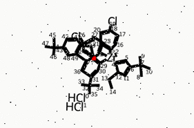 Cl.Cl.[CH2]=[Zr]([C]1=CC(C(C)(C)C)=CC1CC)([c]1ccc(Cl)cc1)([c]1ccc(Cl)cc1)[c]1cc(C(C)(C)C)cc2c1Cc1ccc(C(C)(C)C)cc1-2